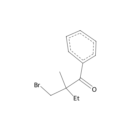 CCC(C)(CBr)C(=O)c1ccccc1